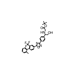 Cc1ccccc1-c1ccc(-c2nc(-c3ccc(C(CO)NCC(=O)OC(C)(C)C)cc3)no2)cc1C(F)(F)F